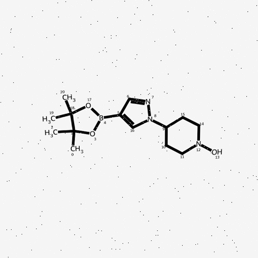 CC1(C)OB(c2cnn(C3CCN(O)CC3)c2)OC1(C)C